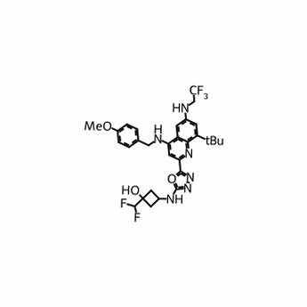 COc1ccc(CNc2cc(-c3nnc(NC4CC(O)(C(F)F)C4)o3)nc3c(C(C)(C)C)cc(NCC(F)(F)F)cc23)cc1